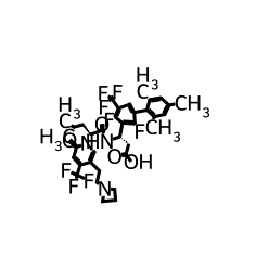 Cc1cc(C)c(-c2cc(C(F)(F)F)c(F)c([C@H](CC(=O)O)NC(=O)[C@H](CC(C)C)n3cc(CCN4CCC4)c(C(F)(F)F)cc3=O)c2F)c(C)c1